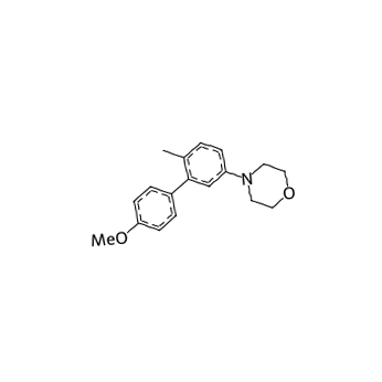 COc1ccc(-c2cc(N3CCOCC3)ccc2C)cc1